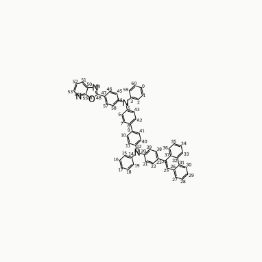 c1ccc(N(c2ccc(-c3ccc(N(c4ccccc4)c4ccc(-c5cc6ccccc6c6ccccc56)cc4)cc3)cc2)c2ccc(-c3nc4cccnc4o3)cc2)cc1